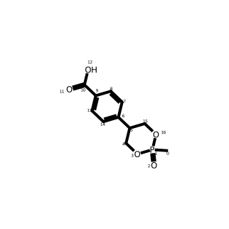 CP1(=O)OCC(c2ccc(C(=O)O)cc2)CO1